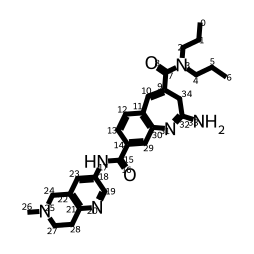 CCCN(CCC)C(=O)C1=Cc2ccc(C(=O)Nc3cnc4c(c3)CN(C)CC4)cc2N=C(N)C1